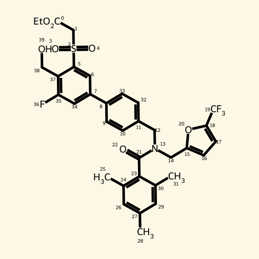 CCOC(=O)CS(=O)(=O)c1cc(-c2ccc(CN(Cc3ccc(C(F)(F)F)o3)C(=O)c3c(C)cc(C)cc3C)cc2)cc(F)c1CO